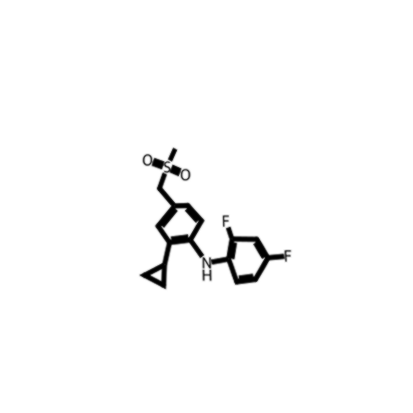 CS(=O)(=O)Cc1ccc(Nc2ccc(F)cc2F)c(C2CC2)c1